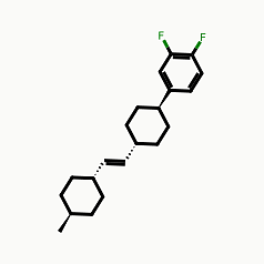 C[C@H]1CC[C@H](C=C[C@H]2CC[C@H](c3ccc(F)c(F)c3)CC2)CC1